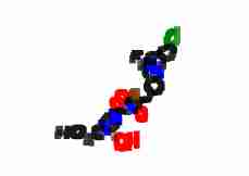 O=C(CN1C(=O)SC(=Cc2ccc3c(cnn3Cc3ccc(Cl)cc3C(F)(F)F)c2)C1=O)N1CCN(C(=O)O)[C@@H](CO)C1